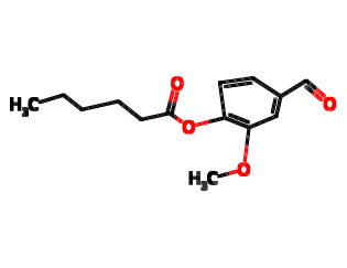 CCCCCC(=O)Oc1ccc(C=O)cc1OC